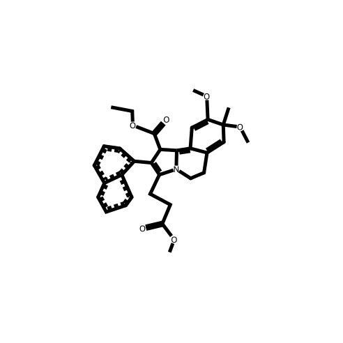 CCOC(=O)C1C(c2cccc3ccccc23)=C(CCC(=O)OC)N2CCC3=CC(C)(OC)C(OC)=CC3=C12